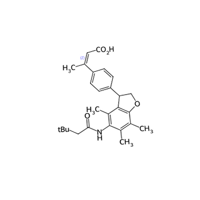 C/C(=C/C(=O)O)c1ccc(C2COc3c(C)c(C)c(NC(=O)CC(C)(C)C)c(C)c32)cc1